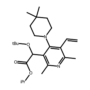 C=Cc1c(C)nc(C)c(C(OC(C)(C)C)C(=O)OC(C)C)c1N1CCC(C)(C)CC1